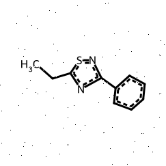 CCc1nc(-c2ccccc2)ns1